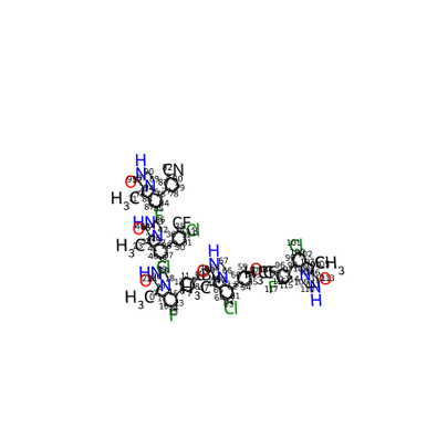 Cc1c2n(c3c(-c4ccc(C(C)(C)C)cc4)cc(F)cc13)CCNC2=O.Cc1c2n(c3c(-c4ccc(Cl)c(C(F)(F)F)c4)cc(Cl)cc13)CCNC2=O.Cc1c2n(c3c(-c4ccc(OC(F)(F)F)cc4)cc(Cl)cc13)CCNC2=O.Cc1c2n(c3c(-c4cccc(C#N)c4)cc(F)cc13)CCNC2=O.Cc1cc(-c2cc(Cl)cc3c(C)c4n(c23)CCNC4=O)ccc1F